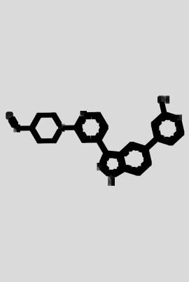 O=NC1CCN(c2cc(-c3n[nH]c4ccc(-c5ccnc(O)c5)cc34)ccn2)CC1